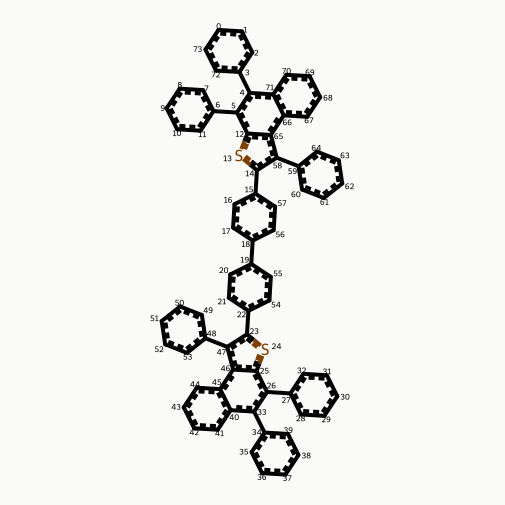 c1ccc(-c2c(-c3ccccc3)c3sc(-c4ccc(-c5ccc(-c6sc7c(-c8ccccc8)c(-c8ccccc8)c8ccccc8c7c6-c6ccccc6)cc5)cc4)c(-c4ccccc4)c3c3ccccc23)cc1